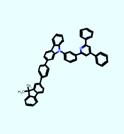 CC1(C)c2ccccc2-c2ccc(-c3ccc(-c4ccc5c6ccccc6n(-c6cccc(-c7cc(-c8ccccc8)cc(-c8ccccc8)n7)c6)c5c4)cc3)cc21